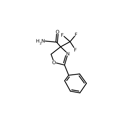 NC(=O)C1(C(F)(F)F)COC(c2ccccc2)=N1